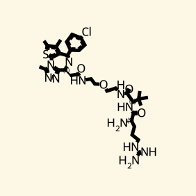 Cc1sc2c(c1C)C(c1ccc(Cl)cc1)=N[C@@H](CC(=O)NCCOCCNC(=O)[C@@H](NC(=O)[C@@H](N)CCCNC(=N)N)C(C)(C)C)c1nnc(C)n1-2